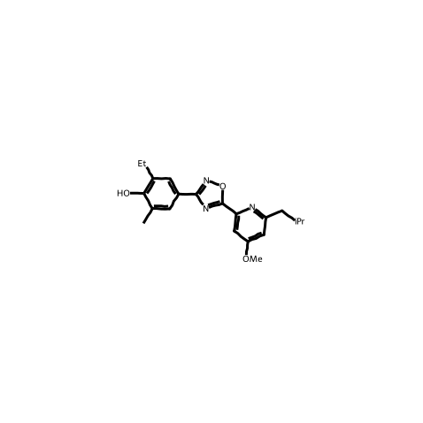 CCc1cc(-c2noc(-c3cc(OC)cc(CC(C)C)n3)n2)cc(C)c1O